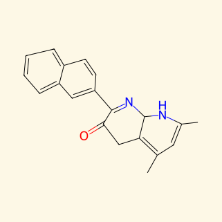 CC1=CC(C)=C2CC(=O)C(c3ccc4ccccc4c3)=NC2N1